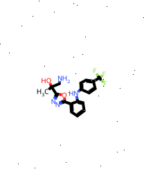 CC(O)(CN)c1nnc(-c2ccccc2Nc2ccc(C(F)(F)F)cc2)o1